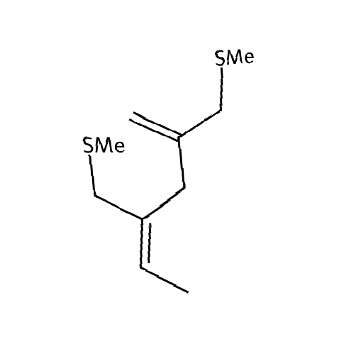 C=C(CSC)C/C(=C\C)CSC